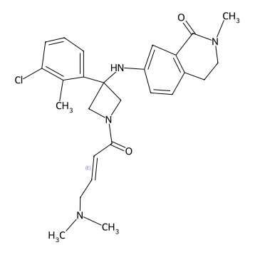 Cc1c(Cl)cccc1C1(Nc2ccc3c(c2)C(=O)N(C)CC3)CN(C(=O)/C=C/CN(C)C)C1